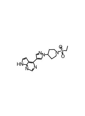 CCS(=O)(=O)N1CCC(n2cc(-c3ncnc4[nH]ccc34)cn2)CC1